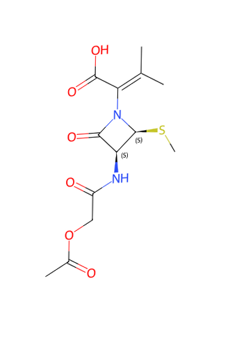 CS[C@H]1[C@@H](NC(=O)COC(C)=O)C(=O)N1C(C(=O)O)=C(C)C